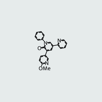 COc1ccc(-c2cc(-c3ccccn3)cn(-c3ccccc3)c2=O)cn1